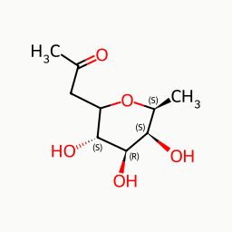 CC(=O)CC1O[C@@H](C)[C@@H](O)[C@@H](O)[C@@H]1O